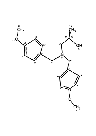 COc1ccc(CN(Cc2ccc(OC)cc2)C[C@@H](C)O)cc1